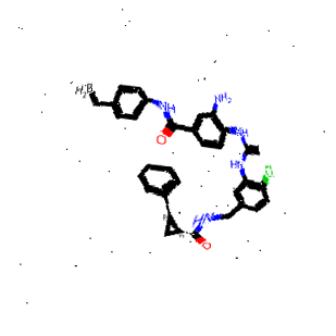 BCc1ccc(NC(=O)c2ccc(NC(=C)Nc3cc(CNC(=O)[C@@H]4C[C@H]4c4ccccc4)ccc3Cl)c(N)c2)cc1